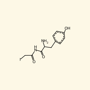 NC(Cc1ccc(O)cc1)C(=O)NC(=O)CI